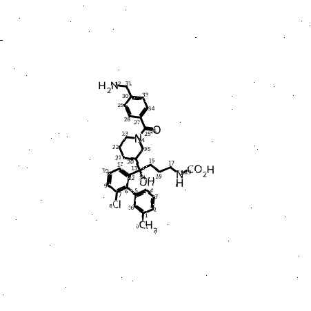 Cc1cccc(-c2c(Cl)cccc2C(O)(CCCNC(=O)O)C2CCCN(C(=O)c3ccc(CN)cc3)C2)c1